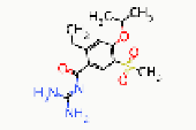 CCc1cc(OC(C)C)c(S(C)(=O)=O)cc1C(=O)N=C(N)N